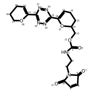 O=C(NCCN1C(=O)C=CC1=O)OCC1CCC=C(c2nnc(C3=CCCCO3)nn2)O1